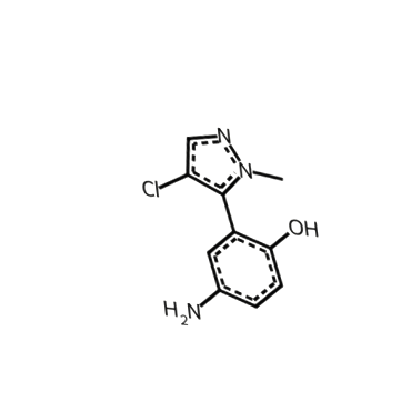 Cn1ncc(Cl)c1-c1cc(N)ccc1O